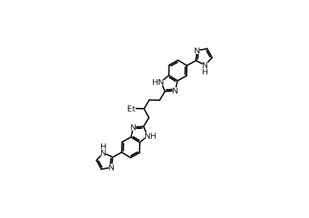 CCC(CCc1nc2cc(-c3ncc[nH]3)ccc2[nH]1)Cc1nc2cc(-c3ncc[nH]3)ccc2[nH]1